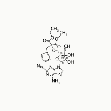 C#C[C@@]1(O)[C@@H](COC(Cc2ccccc2)(C(=O)OCC)C(=O)OCC)O[C@@H](n2cnc3c(N)nc(C#N)nc32)[C@@H]1O